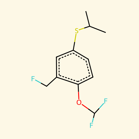 CC(C)Sc1ccc(OC(F)F)c(CF)c1